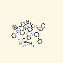 Cc1cc2c3c(c1)N(c1c(C)cccc1C)c1cc(N(c4ccccc4)c4ccccc4)ccc1B3c1cc(C(C)(C)C)ccc1N2c1cc(-c2ccccc2)cc(-c2cc3ccccc3o2)c1